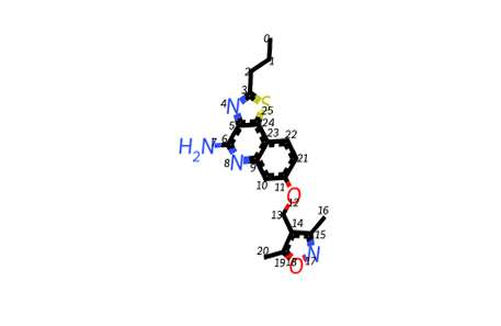 CCCc1nc2c(N)nc3cc(OCc4c(C)noc4C)ccc3c2s1